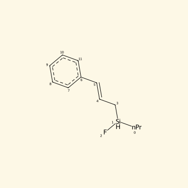 CCC[SiH](F)CC=Cc1ccccc1